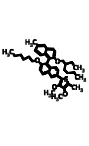 CCCCCCOc1ccc2cc(-c3sc(C)c(OC)c3OC)ccc2c1-c1c(OCC(CC)CCCC)ccc2cc(C)ccc12